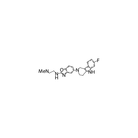 CNCCNc1nc2cc(N3CCc4[nH]c5cc(F)ccc5c4C3)ccc2o1